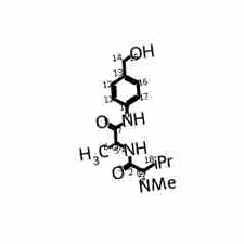 CN[C@H](C(=O)N[C@@H](C)C(=O)Nc1ccc(CO)cc1)C(C)C